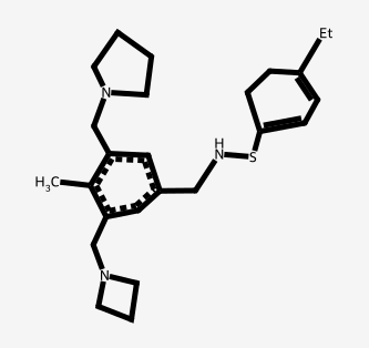 CCC1=CC=C(SNCc2cc(CN3CCCC3)c(C)c(CN3CCC3)c2)CC1